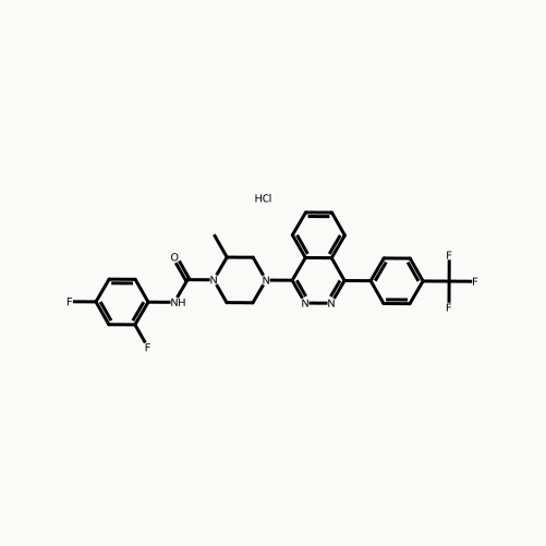 CC1CN(c2nnc(-c3ccc(C(F)(F)F)cc3)c3ccccc23)CCN1C(=O)Nc1ccc(F)cc1F.Cl